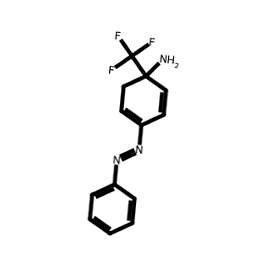 NC1(C(F)(F)F)C=CC(N=Nc2ccccc2)=CC1